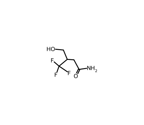 NC(=O)CC(CO)C(F)(F)F